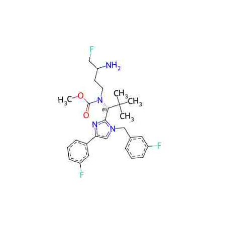 COC(=O)N(CCC(N)CF)[C@@H](c1nc(-c2cccc(F)c2)cn1Cc1cccc(F)c1)C(C)(C)C